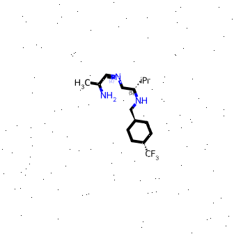 CC(N)/C=N\C[C@@H](NC[C@H]1CC[C@H](C(F)(F)F)CC1)C(C)C